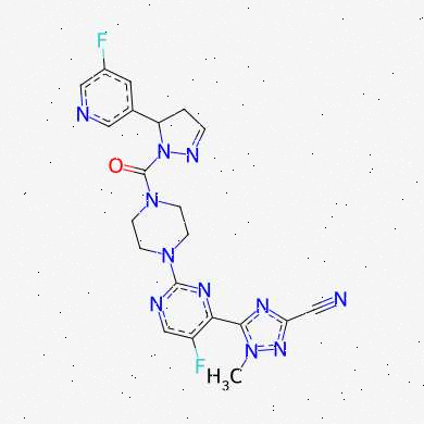 Cn1nc(C#N)nc1-c1nc(N2CCN(C(=O)N3N=CCC3c3cncc(F)c3)CC2)ncc1F